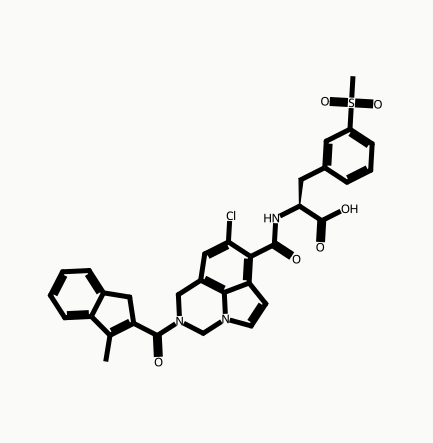 CC1=C(C(=O)N2Cc3cc(Cl)c(C(=O)N[C@@H](Cc4cccc(S(C)(=O)=O)c4)C(=O)O)c4ccn(c34)C2)Cc2ccccc21